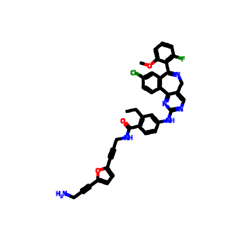 CCc1cc(Nc2ncc3c(n2)-c2ccc(Cl)cc2C(c2c(F)cccc2OC)=NC3)ccc1C(=O)NCC#Cc1ccc(C#CCN)o1